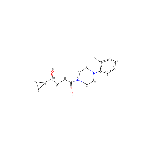 Cc1ccccc1N1CCN(C(=O)CCC(=O)C2CC2)CC1